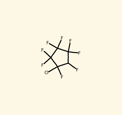 FC1C(F)(F)C(F)(F)C(F)(F)C1(F)Cl